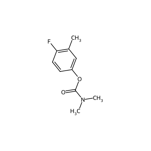 Cc1cc(OC(=O)N(C)C)ccc1F